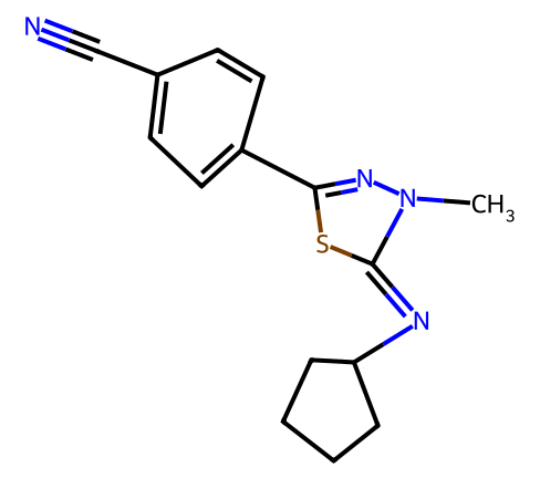 Cn1nc(-c2ccc(C#N)cc2)sc1=NC1CCCC1